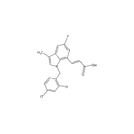 Cc1cn(Cc2ccc(Cl)cc2Cl)c2c(C=CC(=O)O)cc(F)cc12